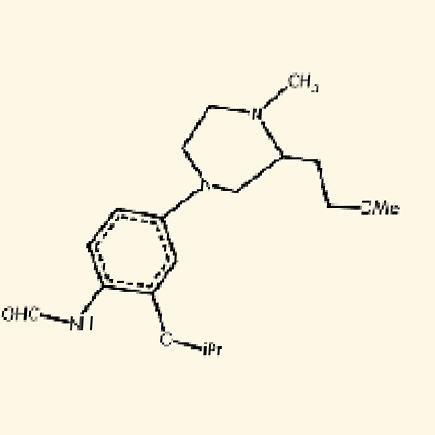 COCCC1CN(c2ccc(NC=O)c(OC(C)C)c2)CCN1C